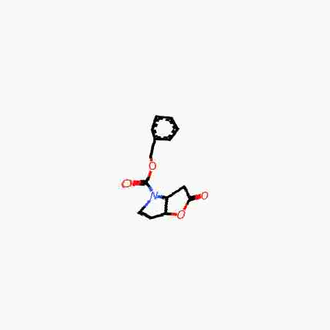 O=C1CC2C(CCN2C(=O)OCc2ccccc2)O1